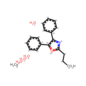 O.O.O.O.O=C(O)CCc1nc(-c2ccccc2)c(-c2ccccc2)o1.[CaH2]